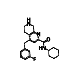 O=C(NC1CCCCC1)c1cc(Cc2cccc(F)c2)c2c(n1)CNCC2